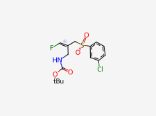 CC(C)(C)OC(=O)NC/C(=C\F)CS(=O)(=O)c1cccc(Cl)c1